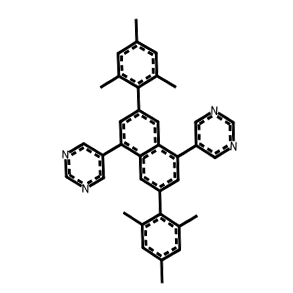 Cc1cc(C)c(-c2cc(-c3cncnc3)c3cc(-c4c(C)cc(C)cc4C)cc(-c4cncnc4)c3c2)c(C)c1